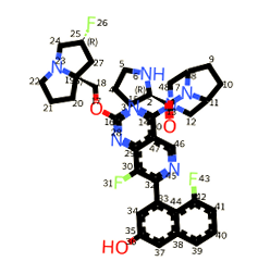 O=C([C@H]1CCCN1)N1C2CCC1CN(c1nc(OC[C@@]34CCCN3C[C@H](F)C4)nc3c(F)c(-c4cc(O)cc5cccc(F)c45)ncc13)C2